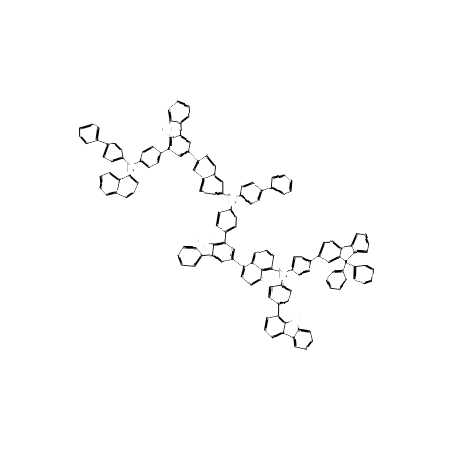 c1ccc(-c2ccc(N(c3ccc(-c4cc(-c5cccc6c(N(c7ccc(-c8ccc9c(c8)C(c8ccccc8)(c8ccccc8)c8ccccc8-9)cc7)c7ccc(-c8cccc9c8oc8ccccc89)cc7)cccc56)cc5c4oc4ccccc45)cc3)c3ccc4cc(-c5cc(-c6ccc(N(c7ccc(-c8ccccc8)cc7)c7cccc8ccccc78)cc6)c6oc7ccccc7c6c5)ccc4c3)cc2)cc1